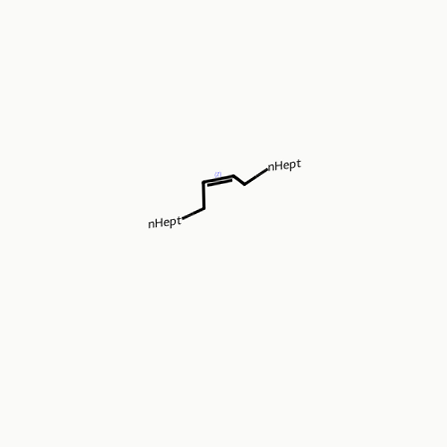 [CH2]CCCCCCC/C=C\CCCCCCCC